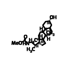 COC(=O)NC[C@@H](C)[C@H]1CC[C@H]2[C@@H]3CC=C4C[C@@H](O)CC[C@]4(C)[C@H]3CC[C@]12C